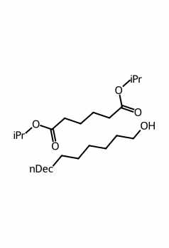 CC(C)OC(=O)CCCCC(=O)OC(C)C.CCCCCCCCCCCCCCCCO